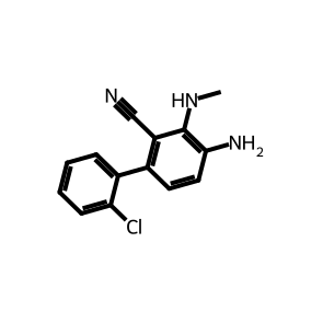 CNc1c(N)ccc(-c2ccccc2Cl)c1C#N